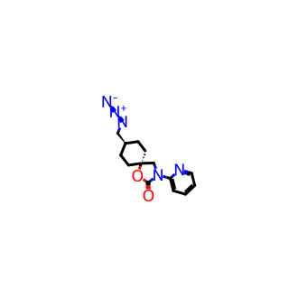 [N-]=[N+]=NC[C@H]1CC[C@]2(CC1)CN(c1ccccn1)C(=O)O2